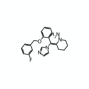 NN1CCCCC1=C(c1ccccc1OCc1cccc(F)c1)n1ccnc1